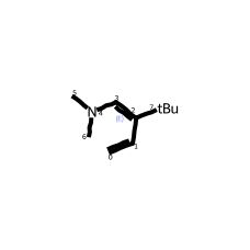 C=C/C(=C\N(C)C)C(C)(C)C